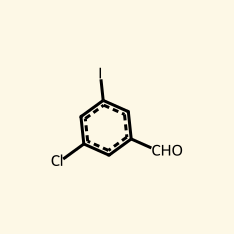 O=Cc1cc(Cl)cc(I)c1